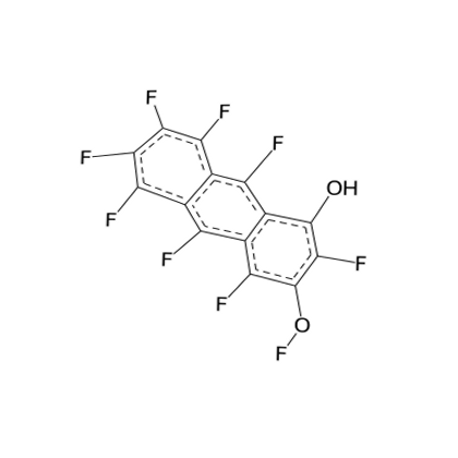 Oc1c(F)c(OF)c(F)c2c(F)c3c(F)c(F)c(F)c(F)c3c(F)c12